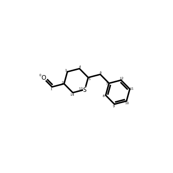 O=CC1CCC(Cc2ccccc2)SC1